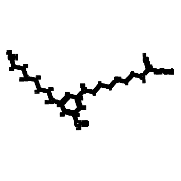 CCCCCC(=O)OCCSCCCOc1cc(C=O)cc(OCCCSCCO)c1